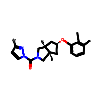 CC(=O)c1ccn(C(=O)N2C[C@H]3C[C@H](Oc4cccc(C)c4C)C[C@H]3C2)n1